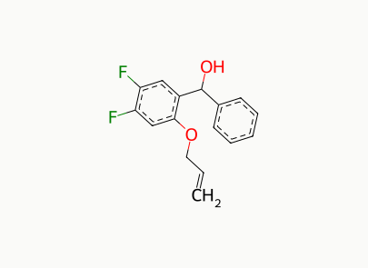 C=CCOc1cc(F)c(F)cc1C(O)c1ccccc1